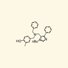 CCCCn1cnc(-c2ccccc2)c1CN(Cc1ccccc1)Cc1ccc(O)c(C)c1